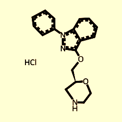 Cl.c1ccc(-n2nc(OC[C@@H]3CNCCO3)c3ccccc32)cc1